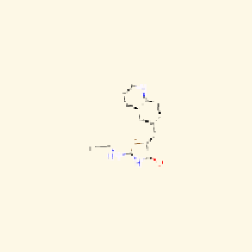 CC(C)CNC1=NC(=O)C(=Cc2ccc3ncccc3c2)S1